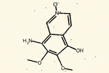 COc1c(OC)c(O)c2cc[n+]([O-])cc2c1N